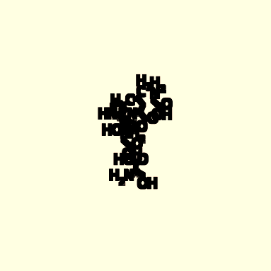 CC(C)C[C@H](N)C(=O)O.NCC(=O)O.NCC(=O)O.N[C@@H](CO)C(=O)O.O=C(O)[C@@H]1CCCN1